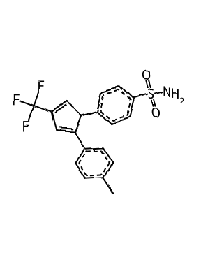 Cc1ccc(C2=CC(C(F)(F)F)=CC2c2ccc(S(N)(=O)=O)cc2)cc1